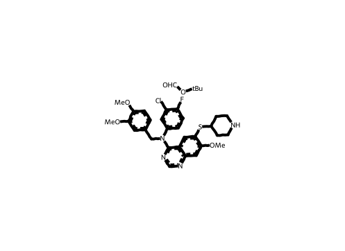 CC(C)(C)OC=O.COc1ccc(CN(c2ccc(F)c(Cl)c2)c2ncnc3cc(OC)c(SC4CCNCC4)cc23)cc1OC